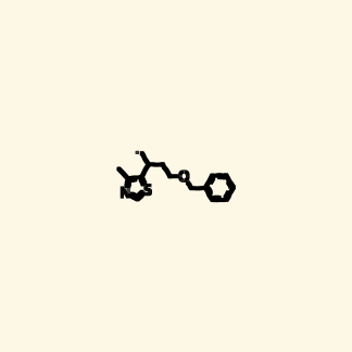 [CH2]C(CCOCc1ccccc1)c1scnc1C